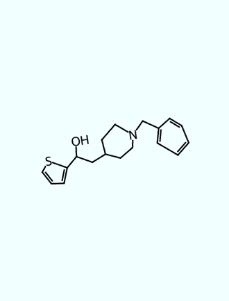 OC(CC1CCN(Cc2ccccc2)CC1)c1cccs1